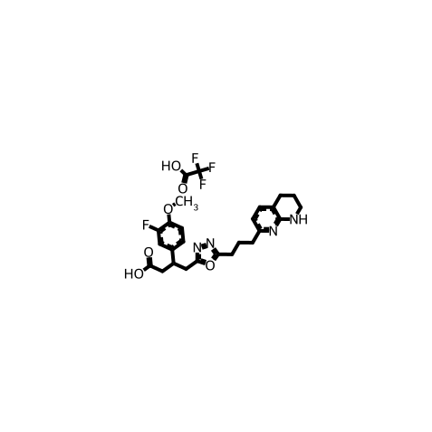 COc1ccc(C(CC(=O)O)Cc2nnc(CCCc3ccc4c(n3)NCCC4)o2)cc1F.O=C(O)C(F)(F)F